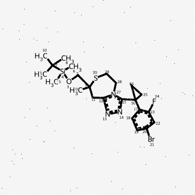 CC1(CO[Si](C)(C)C(C)(C)C)Cc2nnc(C3(c4ccc(Br)cc4F)CC3)n2CCS1